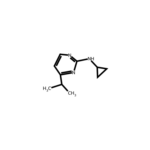 CC(C)c1ccnc(NC2CC2)n1